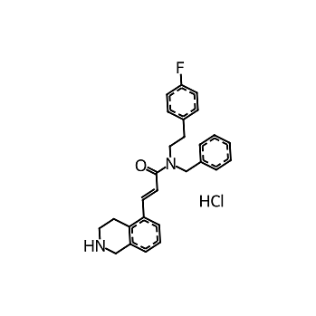 Cl.O=C(/C=C/c1cccc2c1CCNC2)N(CCc1ccc(F)cc1)Cc1ccccc1